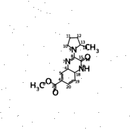 COC(=O)C1=CC2N=C(N3CCCC3C)C(=O)NC2C=C1